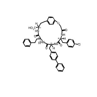 O=C1COc2ccc(cc2)C[C@@H](C(=O)O)NC(=O)[C@H](CCc2ccccc2)NC(=O)[C@@H](Cc2ccc(-c3ccccc3)cc2)NC(=O)[C@@H](Cc2ccc(Cl)cc2)N1